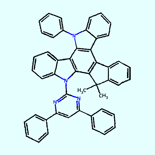 CC1(C)c2ccccc2-c2c1c1c(c3ccccc3n1-c1nc(-c3ccccc3)cc(-c3ccccc3)n1)c1c2c2ccccc2n1-c1ccccc1